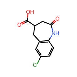 O=C1CC(C(=O)O)Cc2cc(Cl)ccc2N1